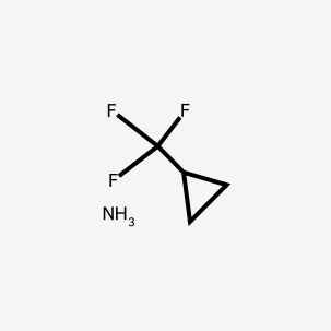 FC(F)(F)C1CC1.N